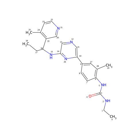 CCNC(=O)Nc1ccc(-c2cncc(NC(CC)c3cnccc3C)n2)cc1C